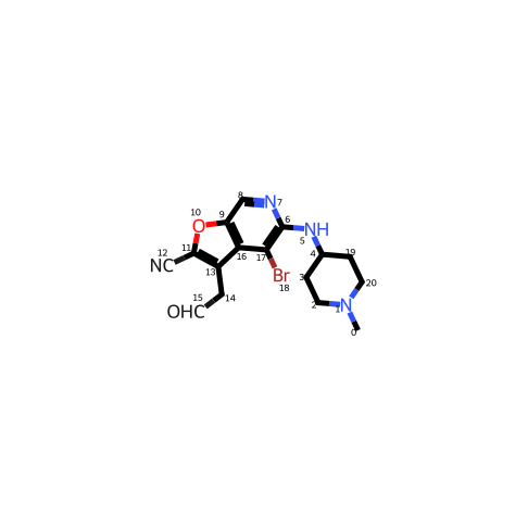 CN1CCC(Nc2ncc3oc(C#N)c(CC=O)c3c2Br)CC1